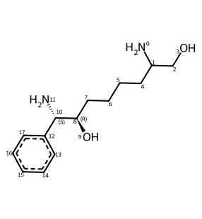 NC(CO)CCCC[C@@H](O)[C@@H](N)c1ccccc1